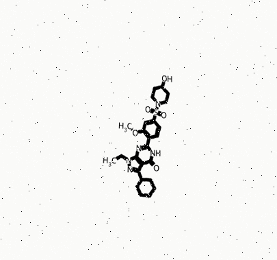 CCn1nc(C2CCCCC2)c2c(=O)[nH]c(-c3ccc(S(=O)(=O)N4CCC(O)CC4)cc3OC)nc21